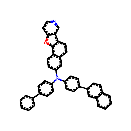 c1ccc(-c2ccc(N(c3ccc(-c4ccc5ccccc5c4)cc3)c3ccc4c(ccc5c6cnccc6oc45)c3)cc2)cc1